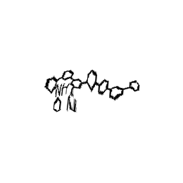 N#Cc1cc(-c2cccc(-c3ccccc3Nc3ccccc3)c2)cc(C2C=C(c3ccc(-c4cccc(-c5ccccc5)c4)cc3)C=CC2)c1